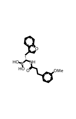 COc1cccc(CCC(=O)N[C@@H](Cc2coc3ccccc23)B(O)O)c1